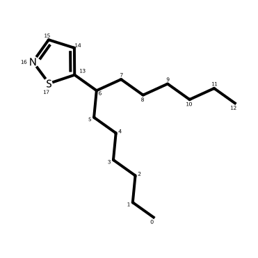 CCCCCCC(CCCCCC)c1ccns1